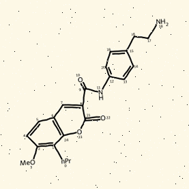 CCCc1c(OC)ccc2cc(C(=O)Nc3ccc(CCN)cc3)c(=O)oc12